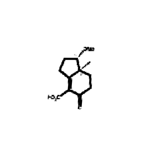 CO[C@H]1CCC2=C(C(=O)O)C(=O)CC[C@@]21C